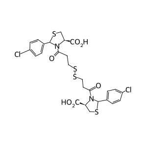 O=C(O)[C@@H]1CSC(c2ccc(Cl)cc2)N1C(=O)CCSSCCC(=O)N1C(c2ccc(Cl)cc2)SC[C@H]1C(=O)O